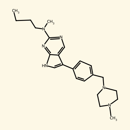 CCCCN(C)c1ncc2c(-c3ccc(CN4CCN(C)CC4)cc3)c[nH]c2n1